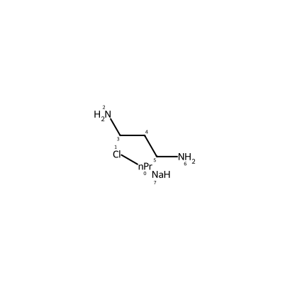 CCCCl.NCCCN.[NaH]